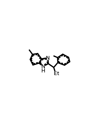 CCC(c1nc2cc(C)ccc2[nH]1)c1ccccc1C